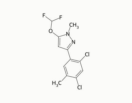 Cc1cc(-c2cc(OC(F)F)n(C)n2)c(Cl)cc1Cl